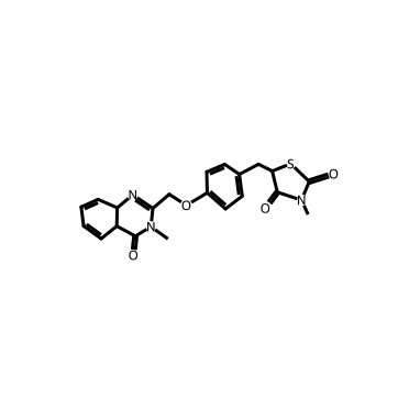 CN1C(=O)SC(Cc2ccc(OCC3=NC4C=CC=CC4C(=O)N3C)cc2)C1=O